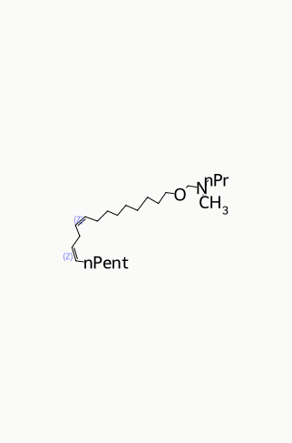 CCCCC/C=C\C/C=C\CCCCCCCCOCN(C)CCC